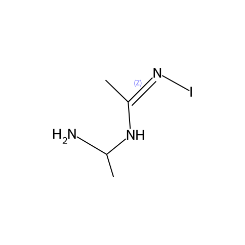 C/C(=N/I)NC(C)N